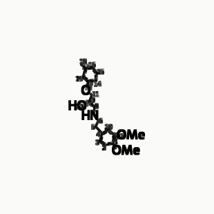 COc1ccc(CCNC[C@H](O)COc2cccc(C)c2)cc1OC